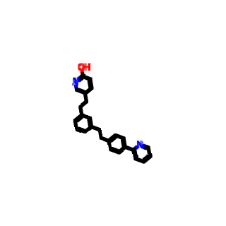 Oc1ccc(CCc2cccc(CCc3ccc(-c4ccccn4)cc3)c2)cn1